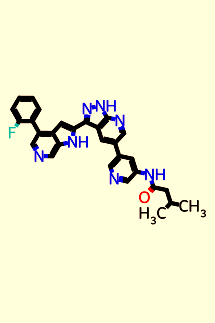 CC(C)CC(=O)Nc1cncc(-c2cnc3[nH]nc(-c4cc5c(-c6ccccc6F)cncc5[nH]4)c3c2)c1